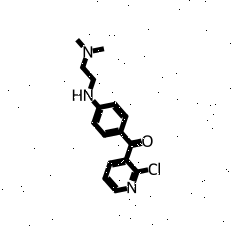 CN(C)CCNc1ccc(C(=O)c2cccnc2Cl)cc1